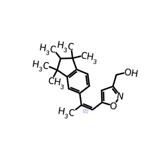 C/C(=C/c1cc(CO)no1)c1ccc2c(c1)C(C)(C)C(C)C2(C)C